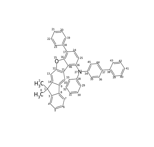 CC1(C)c2ccccc2-c2cc3c(cc21)oc1c(-c2ccccc2)ccc(N(c2ccccc2)c2ccc(-c4ccccc4)cc2)c13